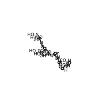 Cc1c(-c2ccc(N3CCc4cccc(C(=O)Nc5nc6ccccc6s5)c4C3)nc2C(=O)O)cnn1CC12CC3(C)CC(C)(C1)CC(OCCN(C)C(=O)OCc1ccc(OCCOCCNC(=O)C(N)CS(=O)(=O)O)cc1O[C@@H]1O[C@H](C(=O)O)[C@@H](O)[C@H](O)[C@H]1O)(C3)C2